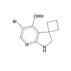 COc1c(Br)cnc2c1C1(CCC1)CN2